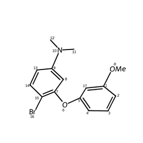 COc1cccc(Oc2cc(N(C)C)ccc2Br)c1